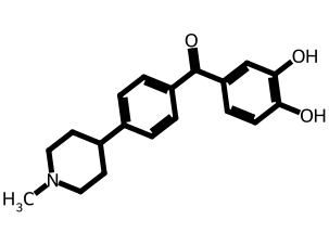 CN1CCC(c2ccc(C(=O)c3ccc(O)c(O)c3)cc2)CC1